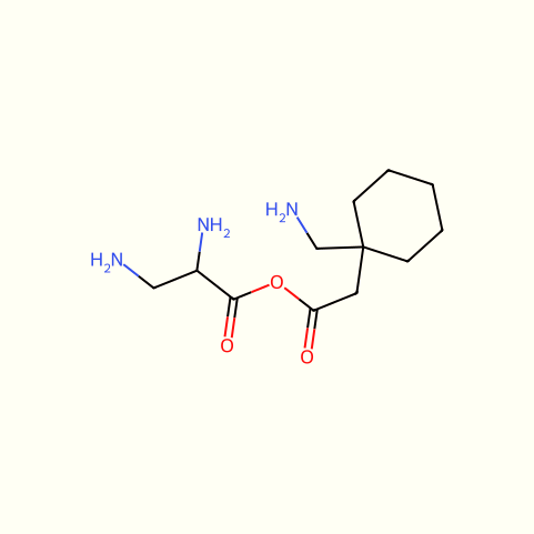 NCC(N)C(=O)OC(=O)CC1(CN)CCCCC1